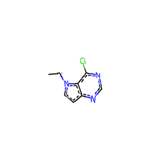 C[CH]n1ccc2ncnc(Cl)c21